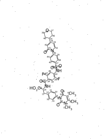 Cc1c(C)n(C)c(=O)n(-c2ccc(C[C@H](NC(=O)c3cc(F)c(NS(=O)(=O)c4ccc(-n5ccc(C6CCOCC6)cc5=O)cc4)cc3F)C(=O)O)cc2)c1=O